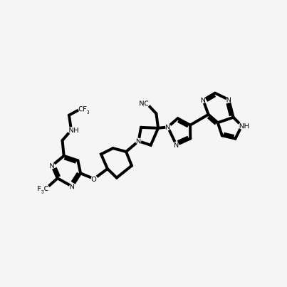 N#CCC1(n2cc(-c3ncnc4[nH]ccc34)cn2)CN(C2CCC(Oc3cc(CNCC(F)(F)F)nc(C(F)(F)F)n3)CC2)C1